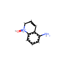 Nc1cccc2c1C=CC[N+]2=O